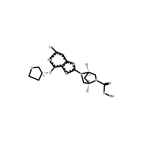 CC(C)(C)OC(=O)N1C[C@H]2C[C@@H]1CN2c1nc2c(O[C@@H]3CCOC3)nc(Cl)cc2s1